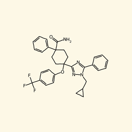 NC(=O)C1(c2ccccc2)CCC(Oc2ccc(C(F)(F)F)cc2)(c2nc(-c3ccccc3)n(CC3CC3)n2)CC1